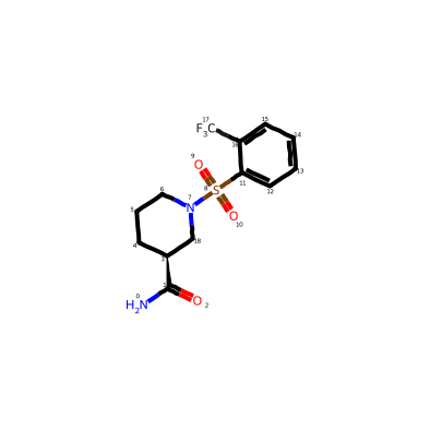 NC(=O)[C@H]1CCCN(S(=O)(=O)c2ccccc2C(F)(F)F)C1